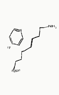 CCCCCCCCCCCCCCCCN.F.c1ccncc1